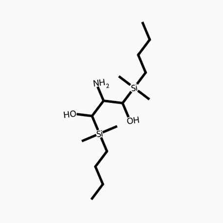 CCCC[Si](C)(C)C(O)C(N)C(O)[Si](C)(C)CCCC